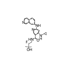 CC(C)(O)[C@H](F)CNC(=O)c1cnc(Nc2ccc3ccncc3c2)cc1NC1CC1